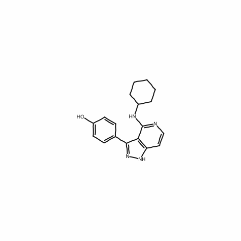 Oc1ccc(-c2n[nH]c3ccnc(NC4CCCCC4)c23)cc1